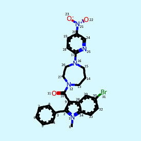 Cn1c(-c2ccccc2)c(C(=O)N2CCCN(c3ccc([N+](=O)[O-])cn3)CC2)c2cc(Br)ccc21